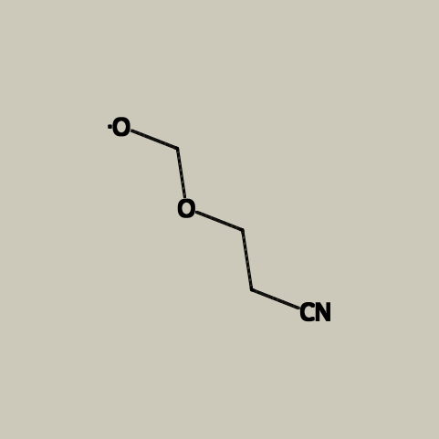 N#CCCOC[O]